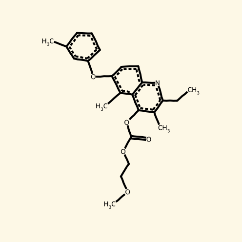 CCc1nc2ccc(Oc3cccc(C)c3)c(C)c2c(OC(=O)OCCOC)c1C